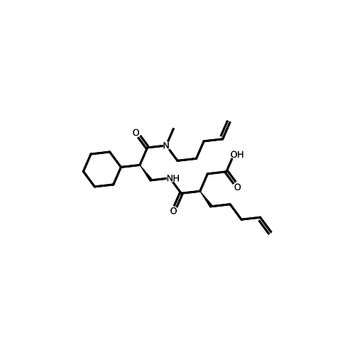 C=CCCC[C@H](CC(=O)O)C(=O)NC[C@H](C(=O)N(C)CCCC=C)C1CCCCC1